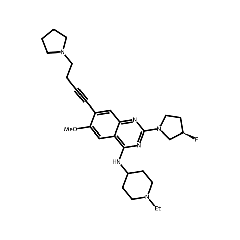 CCN1CCC(Nc2nc(N3CC[C@@H](F)C3)nc3cc(C#CCCN4CCCC4)c(OC)cc23)CC1